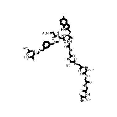 CCCC(=O)N[C@@H](CSCc1cccc(CSC[C@H](NC(=O)CNC(C)=O)C(=O)N[C@@H](Cc2cc3cc(F)ccc3[nH]2)C(=O)NCC(=O)NCC(=O)N[C@@H](CC)C(=O)NCC(=O)N[C@@H](CCC)C(=O)NCC(=O)NCC(=O)N[C@@H](CCC)C(N)=O)c1)C(N)=O